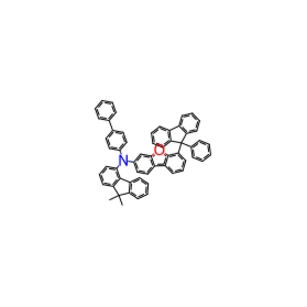 CC1(C)c2ccccc2-c2c(N(c3ccc(-c4ccccc4)cc3)c3ccc4c(c3)oc3c(C5(c6ccccc6)c6ccccc6-c6ccccc65)cccc34)cccc21